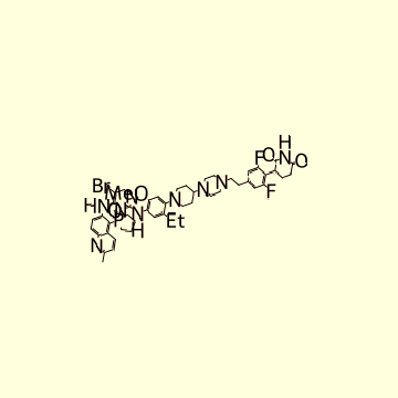 CCc1cc(Nc2ncc(Br)c(Nc3ccc4nc(C)ccc4c3P3(=O)CCCC3)n2)c(OC)cc1N1CCC(N2CCN(CCc3cc(F)c(C4CCC(=O)NC4=O)c(F)c3)CC2)CC1